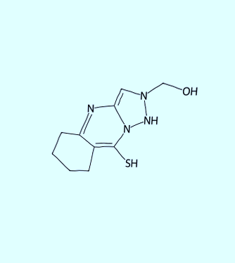 OCN1C=C2N=C3CCCCC3=C(S)N2N1